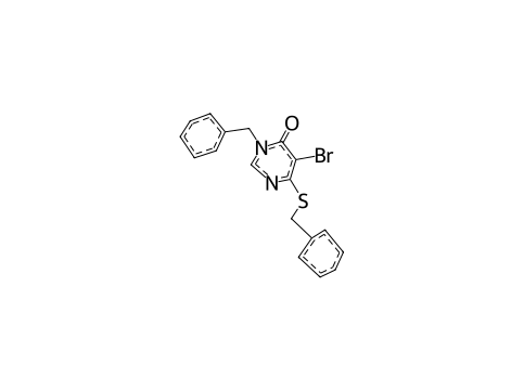 O=c1c(Br)c(SCc2ccccc2)ncn1Cc1ccccc1